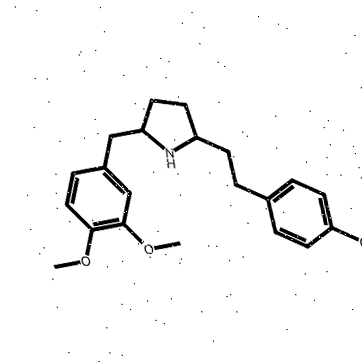 COc1ccc(CC2CCC(CCc3ccc(Cl)cc3)N2)cc1OC